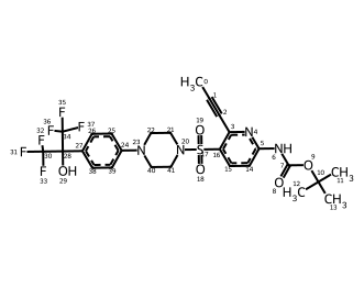 CC#Cc1nc(NC(=O)OC(C)(C)C)ccc1S(=O)(=O)N1CCN(c2ccc(C(O)(C(F)(F)F)C(F)(F)F)cc2)CC1